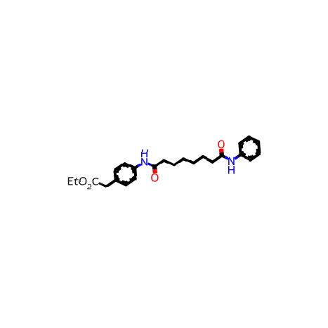 CCOC(=O)Cc1ccc(NC(=O)CCCCCCC(=O)Nc2ccccc2)cc1